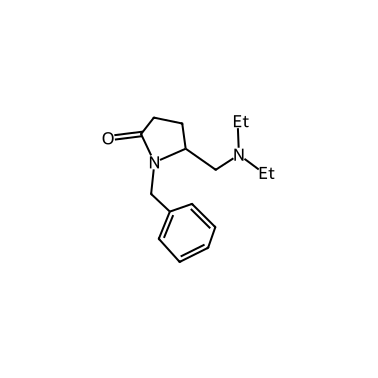 CCN(CC)CC1CCC(=O)N1Cc1ccccc1